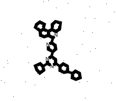 c1ccc(-c2ccc(-c3cc(-c4ccc(-c5nc6ccccc6c6c5ccc5ccccc56)nc4)nc(-c4ccccc4)n3)cc2)cc1